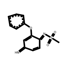 CS(=O)(=O)/N=C1\C=CC(=N)C=C1Oc1ccccc1